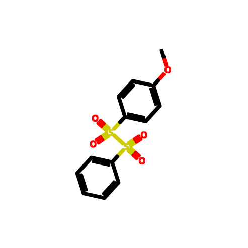 COc1ccc(S(=O)(=O)S(=O)(=O)c2ccccc2)cc1